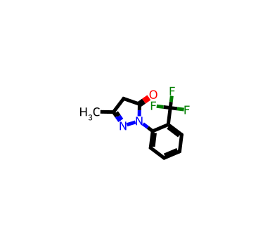 CC1=NN(c2ccccc2C(F)(F)F)C(=O)C1